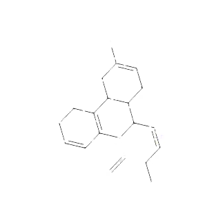 C=C[C@@H]1C2=C(CCC=C2)C2CC(I)=CCC2C1/C=C\CC